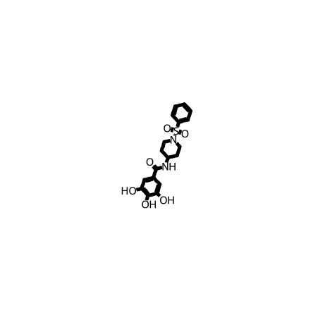 O=C(NC1CCN(S(=O)(=O)c2ccccc2)CC1)c1cc(O)c(O)c(O)c1